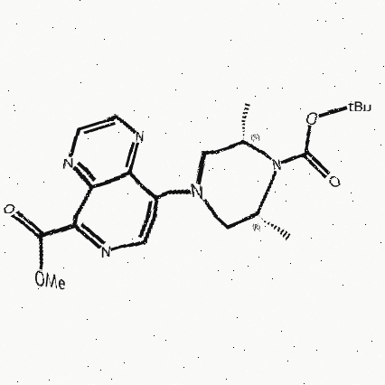 COC(=O)c1ncc(N2C[C@@H](C)N(C(=O)OC(C)(C)C)[C@@H](C)C2)c2nccnc12